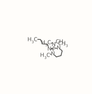 CCCCN=P1(N(C)C)N(C)CCCN1C